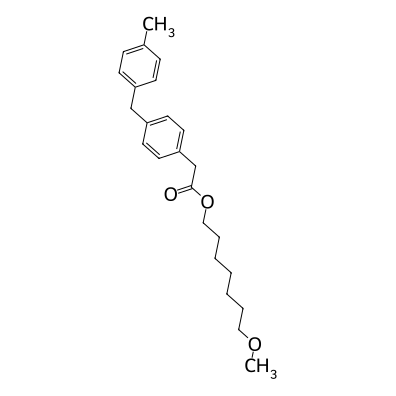 COCCCCCCCOC(=O)Cc1ccc(Cc2ccc(C)cc2)cc1